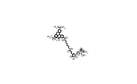 COP(=O)(O)OC1C[C@H](n2cc(/C=C/C(=O)NCCCCCCNC(=O)c3ccc(C4c5ccc(N(C)C)cc5Cc5cc(N(C)C)ccc54)c(C(=O)O)c3)c(=O)[nH]c2=O)O[C@@H]1CO